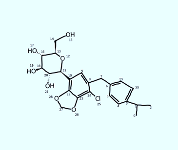 CC(C)c1ccc(Cc2cc([C@@H]3O[C@H](CO)[C@@H](O)[C@H](O)[C@H]3O)c3c(c2Cl)OCO3)cc1